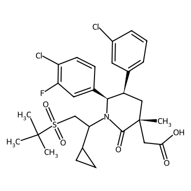 CC(C)(C)S(=O)(=O)CC(C1CC1)N1C(=O)[C@@](C)(CC(=O)O)C[C@H](c2cccc(Cl)c2)[C@@H]1c1ccc(Cl)c(F)c1